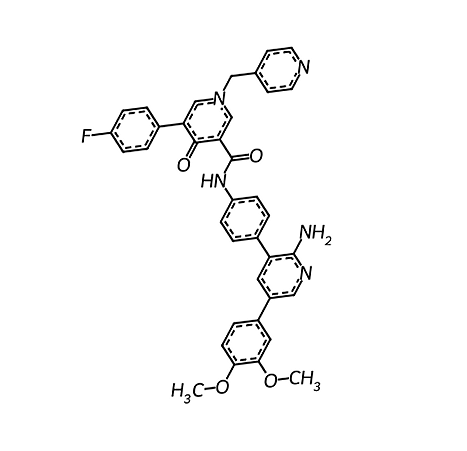 COc1ccc(-c2cnc(N)c(-c3ccc(NC(=O)c4cn(Cc5ccncc5)cc(-c5ccc(F)cc5)c4=O)cc3)c2)cc1OC